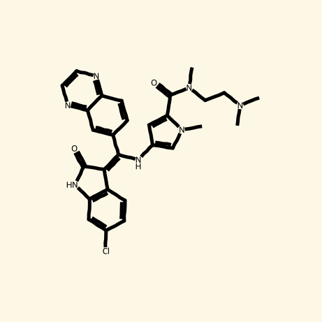 CN(C)CCN(C)C(=O)c1cc(NC(=C2C(=O)Nc3cc(Cl)ccc32)c2ccc3nccnc3c2)cn1C